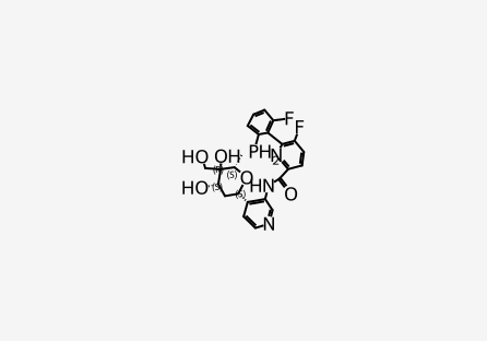 C[C@@H]1O[C@H](c2ccncc2NC(=O)c2ccc(F)c(-c3c(F)cccc3P)n2)C[C@H](O)[C@]1(O)CO